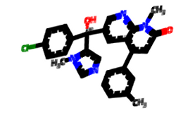 Cc1cccc(-c2cc(=O)n(C)c3ncc([C@](O)(c4ccc(Cl)cc4)c4cncn4C)cc23)c1